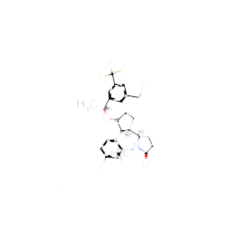 C[C@@H](O[C@H]1CC[C@@H]([C@H]2CCC(=O)N2C)[C@@H]1c1ccc(F)cc1)c1cc(CF)cc(C(F)(F)F)c1